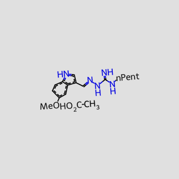 CC(=O)O.CCCCCNC(=N)N/N=C/c1c[nH]c2ccc(OC)cc12